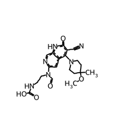 COC1(C)CCN(c2c(C#N)c(=O)[nH]c3cnc(N(C=O)CCNC(=O)O)cc23)CC1